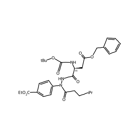 CCOC(=O)c1ccc(N(NC(=O)[C@H](CC(=O)OCc2ccccc2)NC(=O)OC(C)(C)C)C(=O)CCC(C)C)cc1